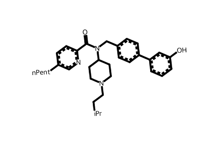 CCCCCc1ccc(C(=O)N(Cc2ccc(-c3cccc(O)c3)cc2)C2CCN(CCC(C)C)CC2)nc1